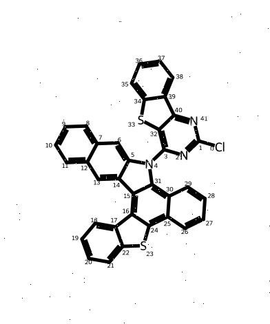 Clc1nc(-n2c3cc4ccccc4cc3c3c4c5ccccc5sc4c4ccccc4c32)c2sc3ccccc3c2n1